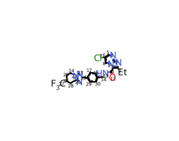 CCc1nc2ncc(Cl)cn2c1C(=O)NCc1ccc(-c2nc3n(n2)CCC(C(F)(F)F)C3)cc1